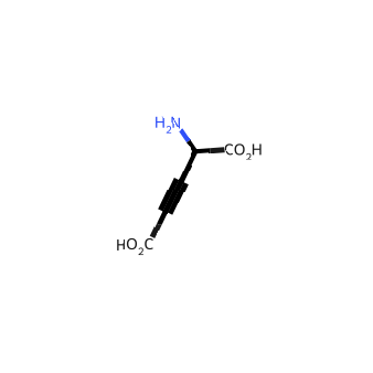 NC(C#CC(=O)O)C(=O)O